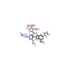 Cc1nc(NCC2CC2)nc(N[C@@H]2C[C@H](CO)[C@@H](O)[C@H]2O)c1-c1cc2cc(C3CC=CS3)nc(C)c2o1